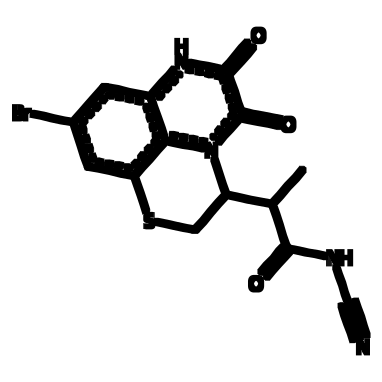 CC(C(=O)NC#N)C1CSc2cc(Br)cc3[nH]c(=O)c(=O)n1c23